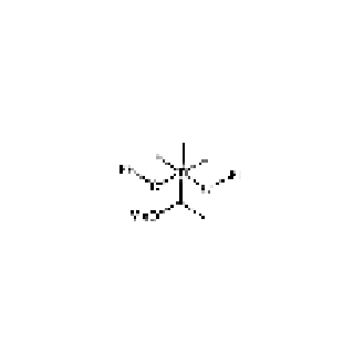 CC[O][Ti]([CH3])([CH3])([CH3])([O]CC)[CH](C)OC